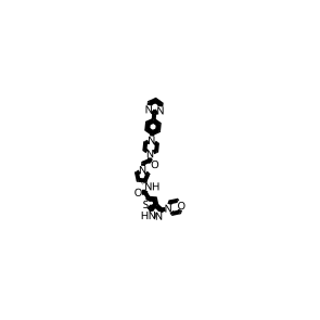 O=C(N[C@@H]1CCN(CC(=O)N2CCN(c3ccc(-c4ncccn4)cc3)CC2)C1)c1cc2c(N3CCOCC3)n[nH]c2s1